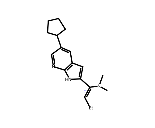 CC/C=C(/c1cc2cc(C3CCCC3)cnc2[nH]1)N(C)C